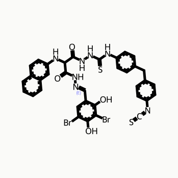 O=C(N/N=C/c1cc(Br)c(O)c(Br)c1O)C(Nc1ccc2ccccc2c1)C(=O)NNC(=S)Nc1ccc(Cc2ccc(N=C=S)cc2)cc1